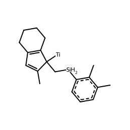 CC1=CC2=C(CCCC2)[C]1([Ti])C[SiH2]c1cccc(C)c1C